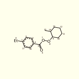 CCc1ccc(C(=O)OO[C]2CCCCC2C)cc1